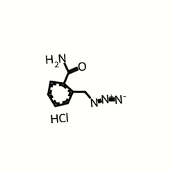 Cl.[N-]=[N+]=NCc1ccccc1C(N)=O